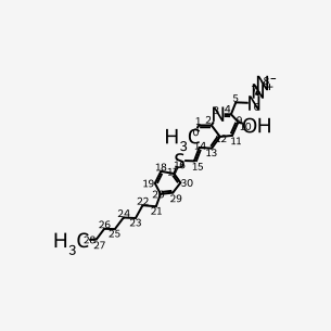 C/C=c1/nc(CN=[N+]=[N-])c(O)c/c1=C/C=C/Sc1ccc(CCCCCCCC)cc1